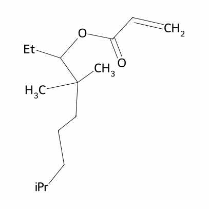 C=CC(=O)OC(CC)C(C)(C)CCCC(C)C